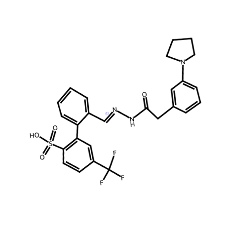 O=C(Cc1cccc(N2CCCC2)c1)N/N=C/c1ccccc1-c1cc(C(F)(F)F)ccc1S(=O)(=O)O